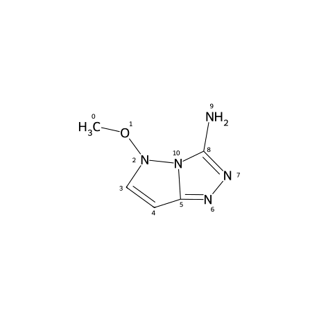 COn1ccc2nnc(N)n21